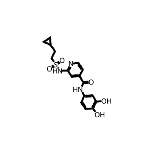 O=C(Nc1ccc(O)c(O)c1)c1ccnc(NS(=O)(=O)CCC2CC2)c1